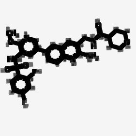 COc1ncc(-c2ccc3nc(N)c(CNC(=O)C4CCOCC4)cc3c2)cc1NS(=O)(=O)c1ccc(F)cc1F